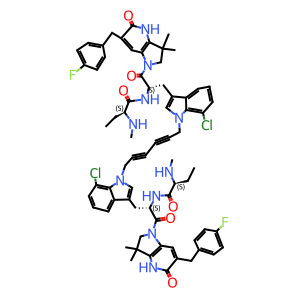 CC[C@H](NC)C(=O)N[C@@H](Cc1cn(CC#CC#CCn2cc(C[C@H](NC(=O)[C@H](CC)NC)C(=O)N3CC(C)(C)c4[nH]c(=O)c(Cc5ccc(F)cc5)cc43)c3cccc(Cl)c32)c2c(Cl)cccc12)C(=O)N1CC(C)(C)c2[nH]c(=O)c(Cc3ccc(F)cc3)cc21